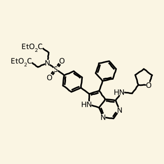 CCOC(=O)CN(CC(=O)OCC)S(=O)(=O)c1ccc(-c2[nH]c3ncnc(NCC4CCCO4)c3c2-c2ccccc2)cc1